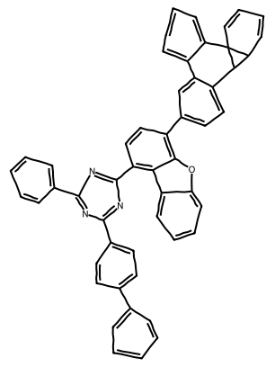 C1=CC2C3c4ccc(-c5ccc(-c6nc(-c7ccccc7)nc(-c7ccc(-c8ccccc8)cc7)n6)c6c5oc5ccccc56)cc4-c4ccccc4C23C=C1